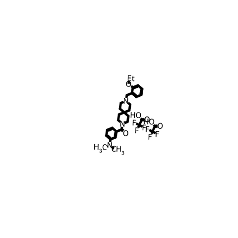 CCOc1ccccc1CN1CCC2(CC1)CCN(C(=O)c1cccc(N(C)C)c1)CC2.O=C(O)C(F)(F)F.O=C(O)C(F)(F)F